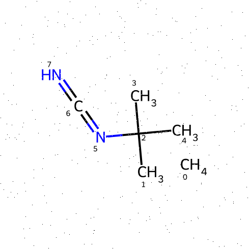 C.CC(C)(C)N=C=N